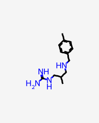 Cc1ccc(CNCC(C)CNC(=N)N)cc1